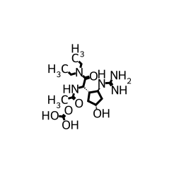 CCN(CC)C(=O)C(NC(C)=O)[C@H]1C[C@@H](O)C[C@@H]1NC(=N)N.O=C(O)O